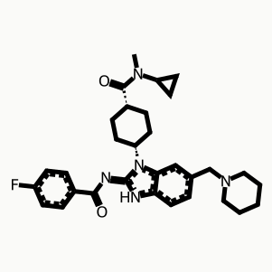 CN(C(=O)[C@H]1CC[C@@H](n2/c(=N/C(=O)c3ccc(F)cc3)[nH]c3ccc(CN4CCCCC4)cc32)CC1)C1CC1